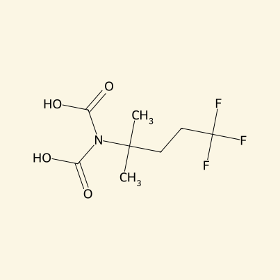 CC(C)(CCC(F)(F)F)N(C(=O)O)C(=O)O